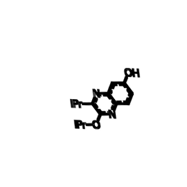 CC(C)Oc1nc2ccc(O)cc2nc1C(C)C